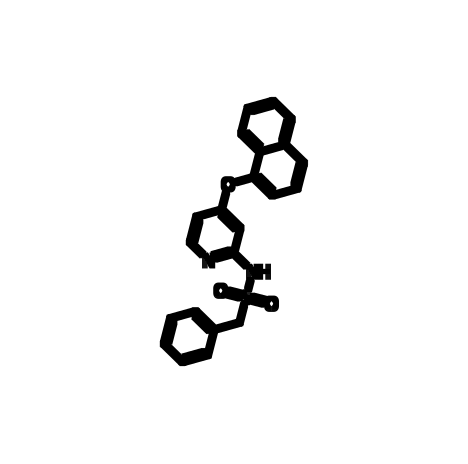 O=S(=O)(Cc1ccccc1)Nc1cc(Oc2cccc3ccccc23)ccn1